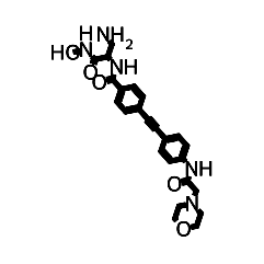 NCC(NC(=O)c1ccc(C#Cc2ccc(NC(=O)CN3CCOCC3)cc2)cc1)C(=O)NO